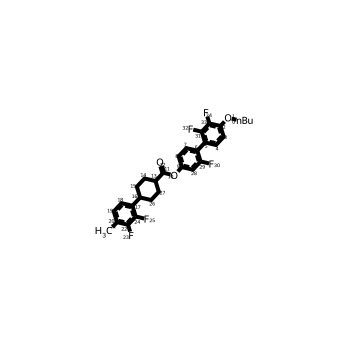 CCCCOc1ccc(-c2ccc(OC(=O)C3CCC(c4ccc(C)c(F)c4F)CC3)cc2F)c(F)c1F